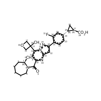 C[C@@H]1CCCCCN1C(=O)c1cc(C2(C)COC2)n2nc(-c3ccc([C@@H]4C[C@H]4C(=O)O)cc3F)cc2n1